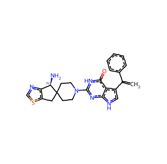 C=C(c1ccccc1)c1c[nH]c2nc(N3CCC4(CC3)Cc3scnc3[C@H]4N)[nH]c(=O)c12